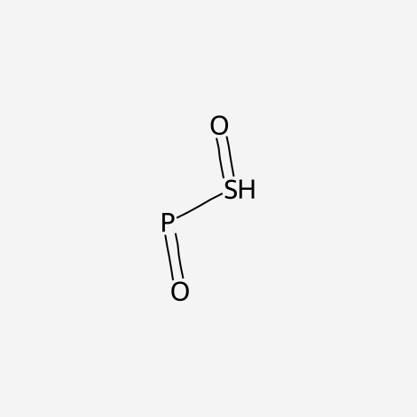 O=P[SH]=O